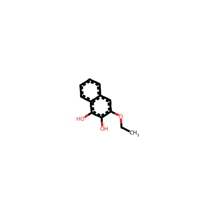 CCOc1cc2ccccc2c(O)c1O